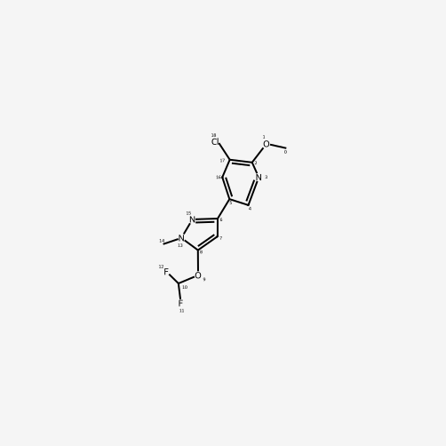 COc1ncc(-c2cc(OC(F)F)n(C)n2)cc1Cl